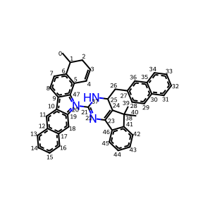 CC1CC=Cc2c1ccc1c3cc4ccccc4cc3n(C3=NC4=C(C(Cc5ccc6ccccc6c5)N3)C(C)(C)c3ccccc34)c21